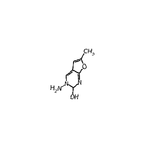 Cc1cc2c(o1)=NC(O)N(N)C=2